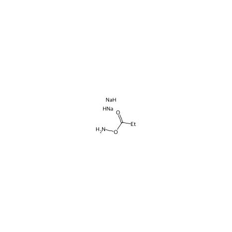 CCC(=O)ON.[NaH].[NaH]